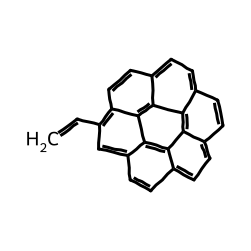 C=Cc1cc2ccc3ccc4ccc5ccc6ccc1c1c6c5c4c3c21